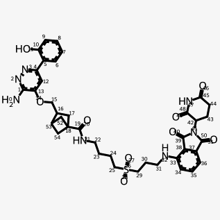 Nc1nnc(-c2ccccc2O)cc1OCC1CC2(C(=O)NCCCCS(=O)(=O)CCCNc3cccc4c3C(=O)N(C3CCC(=O)NC3=O)C4=O)CC1C2